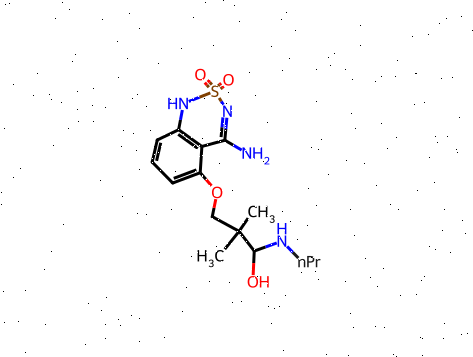 CCCNC(O)C(C)(C)COc1cccc2c1C(N)=NS(=O)(=O)N2